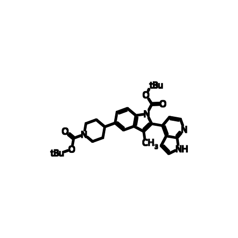 Cc1c(-c2ccnc3[nH]ccc23)n(C(=O)OC(C)(C)C)c2ccc(C3CCN(C(=O)OC(C)(C)C)CC3)cc12